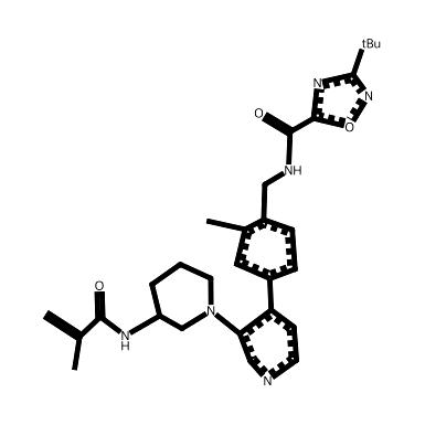 C=C(C)C(=O)NC1CCCN(c2cnccc2-c2ccc(CNC(=O)c3nc(C(C)(C)C)no3)c(C)c2)C1